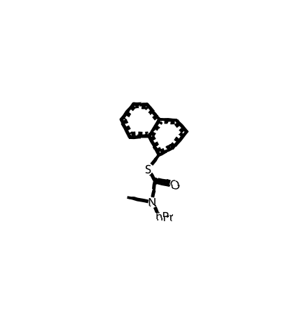 CCCN(C)C(=O)Sc1cccc2ccccc12